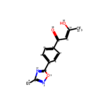 CCc1noc(-c2ccc(C(=O)C=C(O)C(F)(F)F)cc2)n1